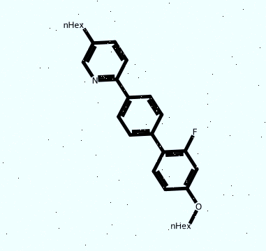 CCCCCCOc1ccc(-c2ccc(-c3ccc(CCCCCC)cn3)cc2)c(F)c1